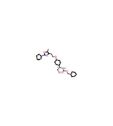 Cc1oc(-c2ccccc2)nc1CCOc1ccc([C@H](CBr)NC(=O)OCc2ccccc2)cc1